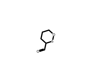 O=CC1CCCOS1